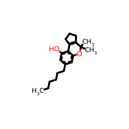 CCCCCCc1cc(O)c2c(c1)OC(C)(C)C1=C2CCC1